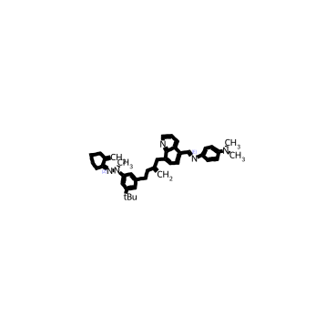 C=C(CCc1cc(N(C)/N=C2/CCCCC2=C)cc(C(C)(C)C)c1)Cc1ccc(/C=N/c2ccc(N(C)C)cc2)c2cccnc12